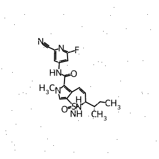 CC[C@H](C)[C@@H]1C=Cc2c(cn(C)c2C(=O)Nc2cc(F)nc(C#N)c2)S(=N)(=O)N1